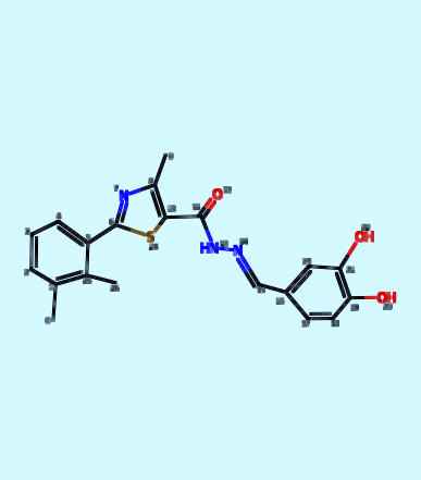 Cc1cccc(-c2nc(C)c(C(=O)N/N=C/c3ccc(O)c(O)c3)s2)c1C